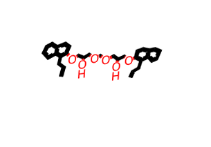 C=CCc1c(OCC(O)COCOCC(O)COc2ccc3ccccc3c2CC=C)ccc2ccccc12